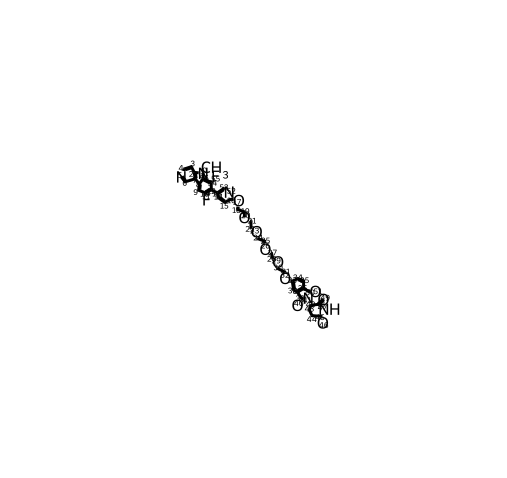 Cn1c2ccncc2c2cc(F)c(-c3ccc(OCCOCCOCCOCCOCCOc4ccc5c(c4)C(=O)N(C4CCC(=O)NC4=O)C5=O)nc3)c(F)c21